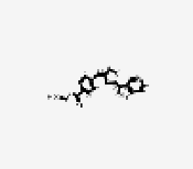 CCOC(=O)c1ccc(CC2CC[C@H]([C@H](C)c3cccnc3)C2)cc1